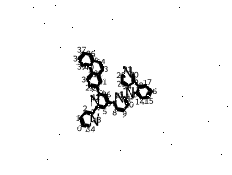 c1ccc(-c2cc(-c3cccc(-n4c5ccccc5c5cnccc54)n3)cc(-c3ccc4c(ccc5ccccc54)c3)n2)nc1